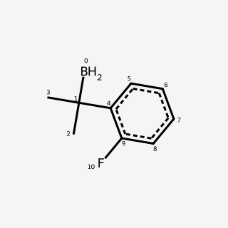 BC(C)(C)c1ccccc1F